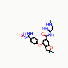 CN/C=C\C(=N)NC(=O)c1cc(Oc2ccc(C(=N)NO)cc2)c2c(c1)OC(C)(C)C2